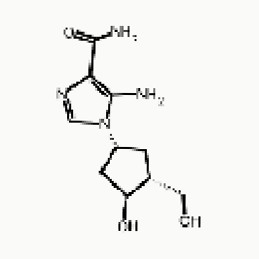 NC(=O)c1ncn([C@@H]2C[C@H](CO)[C@@H](O)C2)c1N